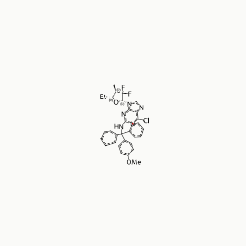 CC[C@H]1O[C@@H](n2cnc3c(Cl)nc(NC(c4ccccc4)(c4ccccc4)c4ccc(OC)cc4)nc32)C(F)(F)[C@@H]1C